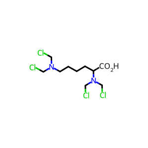 O=C(O)C(CCCCN(CCl)CCl)N(CCl)CCl